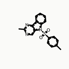 Cc1ccc(S(=O)(=O)n2c3ccccc3c3nc(C)ncc32)cc1